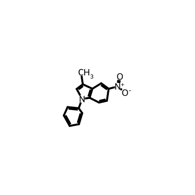 Cc1cn(-c2ccccc2)c2ccc([N+](=O)[O-])cc12